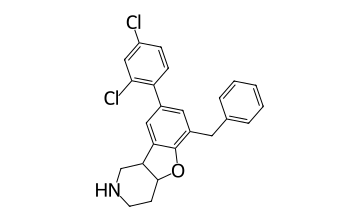 Clc1ccc(-c2cc(Cc3ccccc3)c3c(c2)C2CNCCC2O3)c(Cl)c1